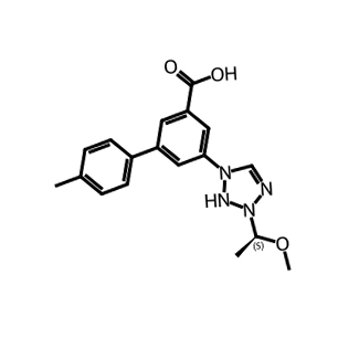 CO[C@@H](C)N1N=CN(c2cc(C(=O)O)cc(-c3ccc(C)cc3)c2)N1